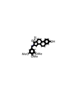 COc1cc(/C=C2\CC3C4CCc5cc(O)ccc5C4CC[C@]3(C)C2=O)cc(OC)c1OC